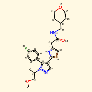 COCC(C)n1ncc(-c2nc(CC(=O)NCC3CCOCC3)cs2)c1-c1ccc(F)cc1